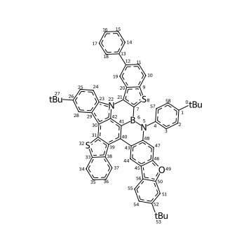 CC(C)(C)c1ccc(N2B3c4sc5ccc(-c6ccccc6)cc5c4-n4c5ccc(C(C)(C)C)cc5c5c6sc7ccccc7c6c(c3c54)-c3cc4c(cc32)oc2cc(C(C)(C)C)ccc24)cc1